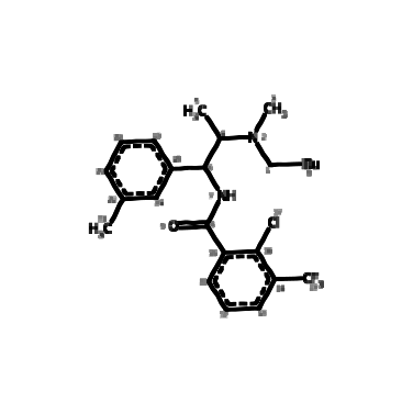 CCC(C)CN(C)C(C)C(NC(=O)c1cccc(C(F)(F)F)c1Cl)c1cccc(C)c1